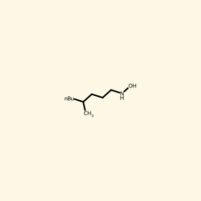 CCCCC(C)CCCNO